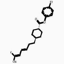 CCc1ccc(OC(=O)[C@H]2CC[C@H](CCC=CC=C(F)C#N)CC2)cc1